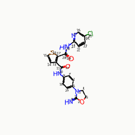 N=C1OCCN1c1ccc(NC(=O)c2ccsc2C(=O)Nc2ccc(Cl)cn2)cc1